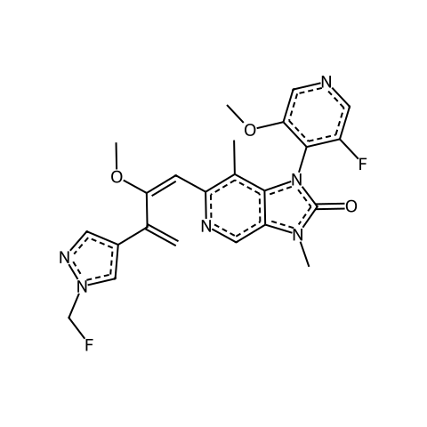 C=C(/C(=C\c1ncc2c(c1C)n(-c1c(F)cncc1OC)c(=O)n2C)OC)c1cnn(CF)c1